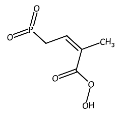 CC(=CCP(=O)=O)C(=O)OO